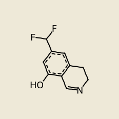 Oc1cc(C(F)F)cc2c1C=NCC2